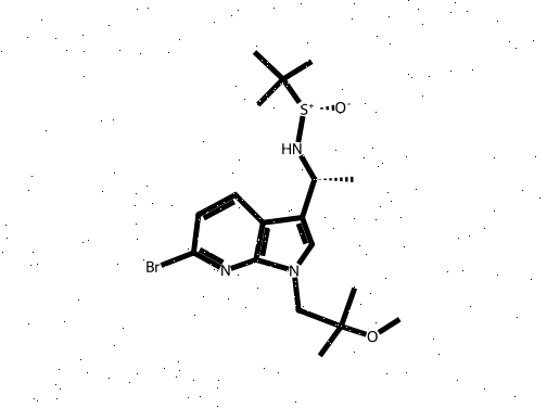 COC(C)(C)Cn1cc([C@@H](C)N[S@@+]([O-])C(C)(C)C)c2ccc(Br)nc21